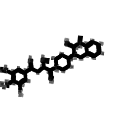 N#Cc1cc(C(=O)CC(O)C(=O)N2CCC(N3Cc4ccccc4NC3=O)CC2)cc(F)c1N